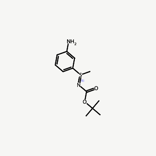 C/S(=N\C(=O)OC(C)(C)C)c1cccc(N)c1